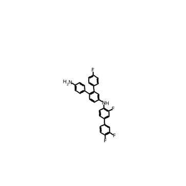 Nc1ccc(-c2ccc(Nc3ccc(-c4ccc(F)c(F)c4)cc3F)cc2-c2ccc(F)cc2)cc1